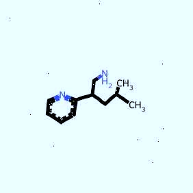 CC(C)CC(CN)c1ccccn1